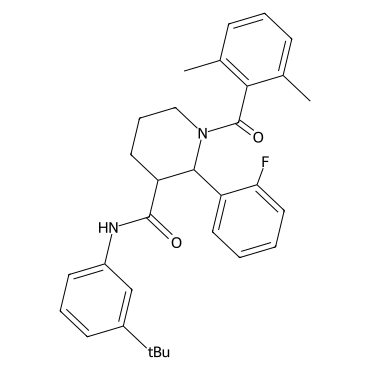 Cc1cccc(C)c1C(=O)N1CCCC(C(=O)Nc2cccc(C(C)(C)C)c2)C1c1ccccc1F